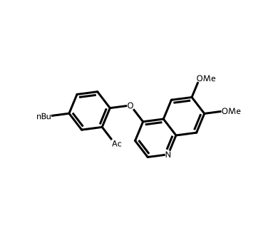 CCCCc1ccc(Oc2ccnc3cc(OC)c(OC)cc23)c(C(C)=O)c1